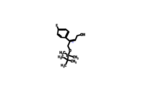 CC(C)(C)[Si](C)(C)OC/C(=C/CO)c1ccc(F)cc1